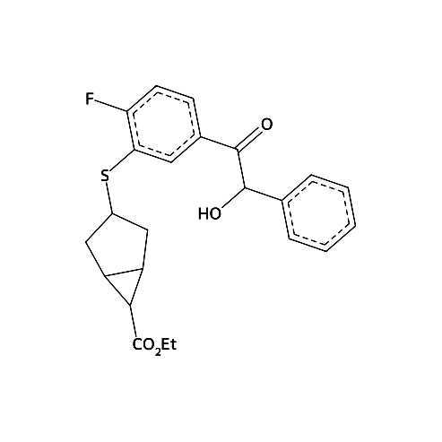 CCOC(=O)C1C2CC(Sc3cc(C(=O)C(O)c4ccccc4)ccc3F)CC21